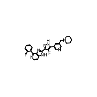 Fc1ccccc1-c1nccc2[nH]c(-c3n[nH]c(-c4cncc(CN5CCCCC5)c4)c3F)nc12